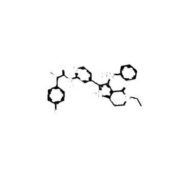 CCN1CCc2[nH]c(-c3ccnc(NC(=O)[C@H](C)c4ccc(F)cc4)c3)c(Nc3ccccc3)c2C1=O